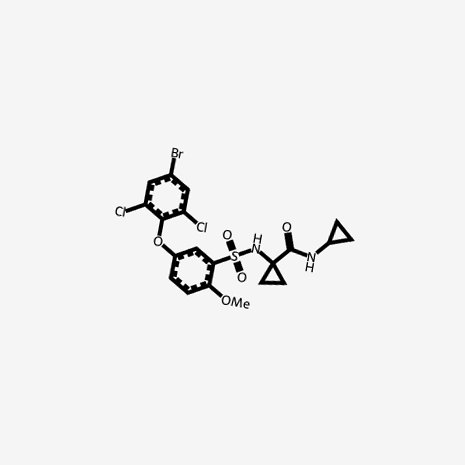 COc1ccc(Oc2c(Cl)cc(Br)cc2Cl)cc1S(=O)(=O)NC1(C(=O)NC2CC2)CC1